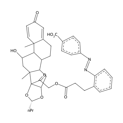 CCC[C@H]1OC2CC3C4CCC5=CC(=O)C=CC5(C)C4C(O)CC3(C)C2(C(=O)COC(=O)CCc2ccccc2/N=N/c2ccc(C(=O)O)cc2)O1